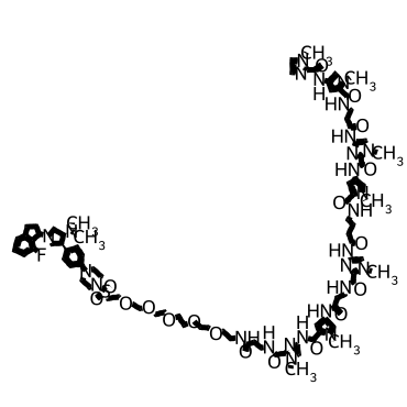 CN(C)[C@H]1CN(C2CCc3cccc(F)c32)C[C@@H]1c1ccc(N2CCN(S(=O)(=O)CCOCCOCCOCCOCCOCCNC(=O)CCNC(=O)c3nc(NC(=O)c4cc(NC(=O)CCNC(=O)c5nc(NC(=O)CCCNC(=O)c6cc(NC(=O)c7nc(NC(=O)CCNC(=O)c8cc(NC(=O)c9nccn9C)cn8C)cn7C)cn6C)cn5C)cn4C)cn3C)CC2)cc1